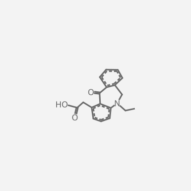 CCN1Cc2ccccc2C(=O)c2c(CC(=O)O)cccc21